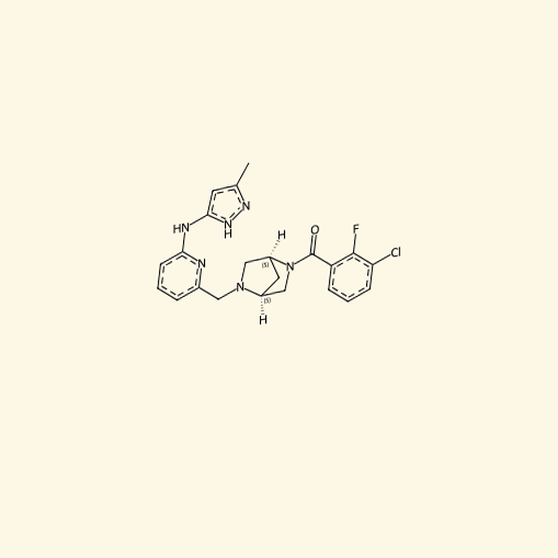 Cc1cc(Nc2cccc(CN3C[C@@H]4C[C@H]3CN4C(=O)c3cccc(Cl)c3F)n2)[nH]n1